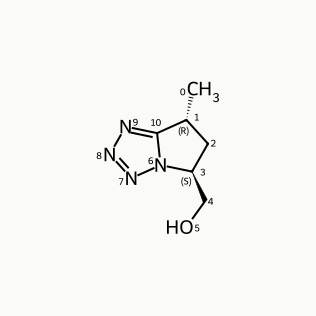 C[C@@H]1C[C@@H](CO)n2nnnc21